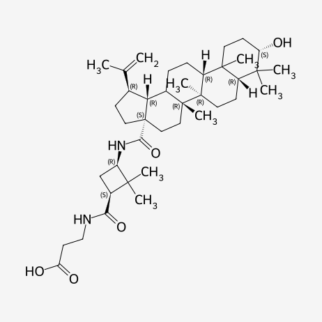 C=C(C)[C@@H]1CC[C@]2(C(=O)N[C@@H]3C[C@H](C(=O)NCCC(=O)O)C3(C)C)CC[C@]3(C)C(CC[C@@H]4C5(C)CC[C@H](O)C(C)(C)[C@@H]5CC[C@]43C)[C@@H]12